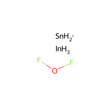 FOF.[InH3].[SnH2]